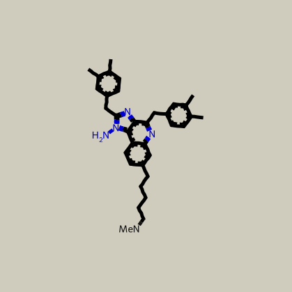 CNCCCCCc1ccc2c(c1)nc(Cc1ccc(C)c(C)c1)c1nc(Cc3ccc(C)c(C)c3)n(N)c12